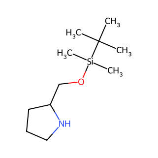 CC(C)(C)[Si](C)(C)OCC1CCCN1